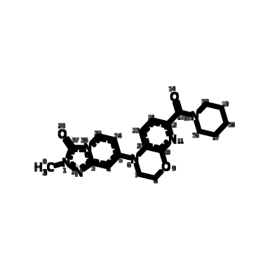 Cn1nc2cc(N3CCOc4nc(C(=O)N5CCCCC5)ccc43)ccn2c1=O